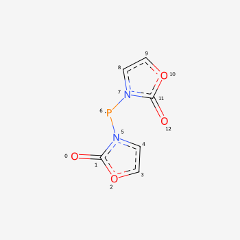 O=c1occn1[P]n1ccoc1=O